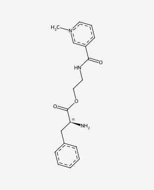 C[n+]1cccc(C(=O)NCCOC(=O)[C@@H](N)Cc2ccccc2)c1